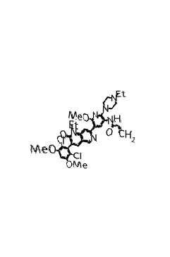 C=CC(=O)Nc1cc(-c2cc3c(cn2)cc(-c2c(Cl)c(OC)cc(OC)c2Cl)c(=O)n3CC)c(OC)nc1N1CCN(CC)CC1